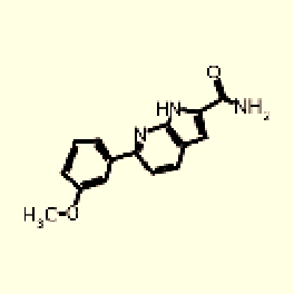 COc1cccc(-c2ccc3cc(C(N)=O)[nH]c3n2)c1